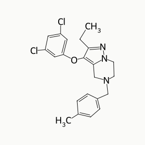 CCc1nn2c(c1Oc1cc(Cl)cc(Cl)c1)CN(Cc1ccc(C)cc1)CC2